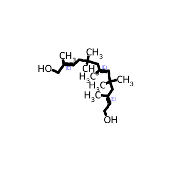 C/C(=C\CC(C)(C)C/C(C)=C/C(C)(C)C/C(C)=C/CO)CO